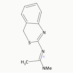 CN/C(C)=N/C1=Nc2ccccc2CS1